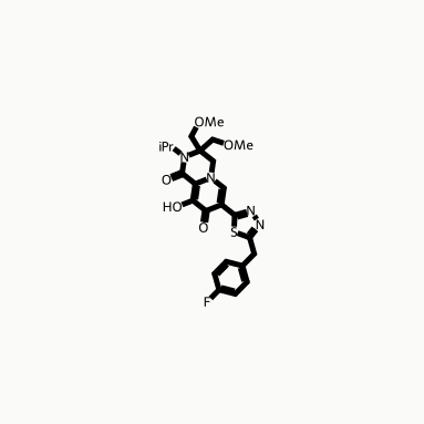 COCC1(COC)Cn2cc(-c3nnc(Cc4ccc(F)cc4)s3)c(=O)c(O)c2C(=O)N1C(C)C